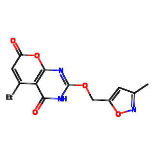 CCc1cc(=O)oc2nc(OCc3cc(C)no3)[nH]c(=O)c12